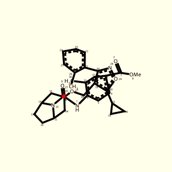 COC(=O)c1ccc(NC(=O)N2C3CCC2CC(OCc2c(-c4ccccc4C)noc2C2CC2)C3)c(C)c1